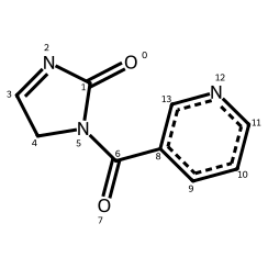 O=C1N=CCN1C(=O)c1cccnc1